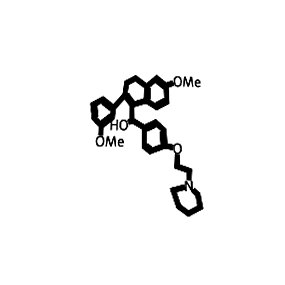 COc1cccc(C2=C(C(O)c3ccc(OCCN4CCCCC4)cc3)c3ccc(OC)cc3CC2)c1